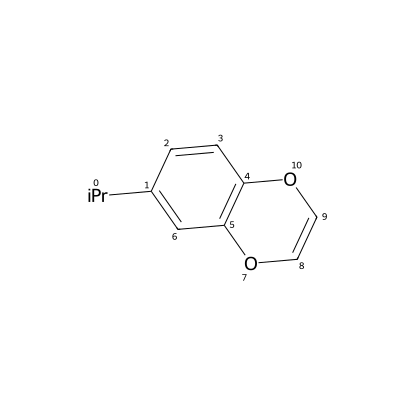 CC(C)c1ccc2c(c1)OC=CO2